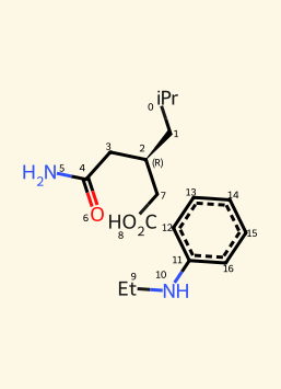 CC(C)C[C@H](CC(N)=O)CC(=O)O.CCNc1ccccc1